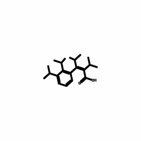 CC(C)C(C(=O)O)=C(c1cccc(C(C)C)c1C(C)C)C(C)C